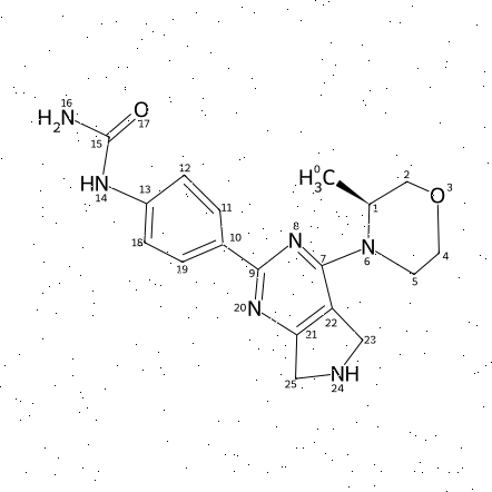 C[C@H]1COCCN1c1nc(-c2ccc(NC(N)=O)cc2)nc2c1CNC2